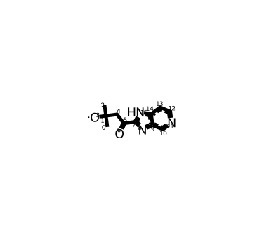 CC(C)([O])CC(=O)c1nc2cnccc2[nH]1